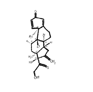 C=C1C[C@H]2[C@@H]3CCC4=CC(=O)C=C[C@]4(C)[C@@]3(Cl)[C@@H](F)C[C@]2(C)[C@@]1(O)C(=O)CO